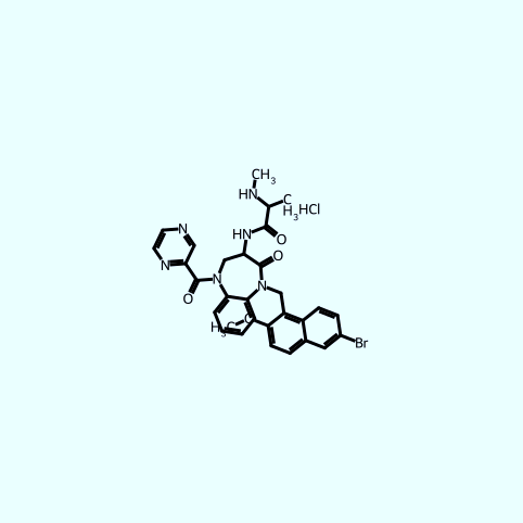 CNC(C)C(=O)NC1CN(C(=O)c2cnccn2)c2ccccc2N(Cc2c(OC)ccc3cc(Br)ccc23)C1=O.Cl